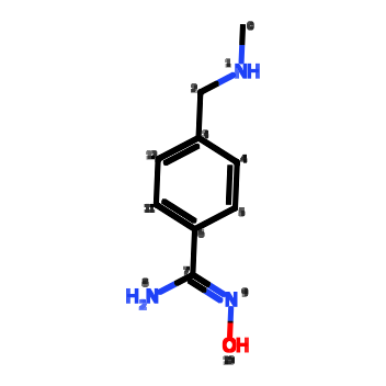 CNCc1ccc(/C(N)=N/O)cc1